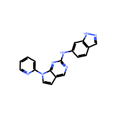 c1ccc(-n2ccc3cnc(Nc4ccc5cn[nH]c5c4)nc32)nc1